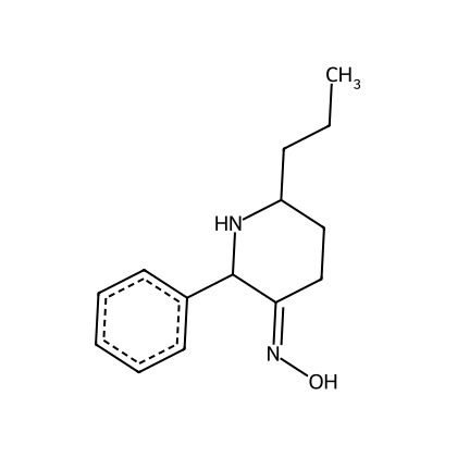 CCCC1CCC(=NO)C(c2ccccc2)N1